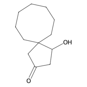 O=C1CC(O)C2(CCCCCCC2)C1